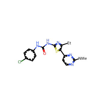 CCc1nc(NC(=O)Nc2ccc(Cl)cc2)sc1-c1ccnc(NC)n1